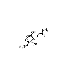 NCC(=O)[N]([Zn])[C@@H](CCC(N)=O)C(=O)O